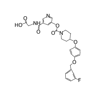 O=C(O)CNC(=O)c1cncc(OC(=O)N2CCC(Oc3ccc(OCc4cccc(F)c4)cc3)CC2)c1